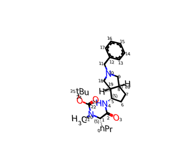 CCC[C@@H](C(=O)N[C@H]1CC[C@H]2CN(Cc3ccccc3)C[C@H]21)N(C)C(=O)OC(C)(C)C